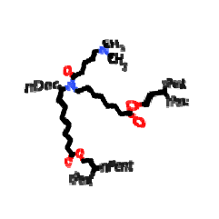 CCCCCCCCCCC(CCCCCCCC(=O)OCCC(CCCCC)CCCCC)N(CCCCCCCC(=O)OCCC(CCCCC)CCCCC)C(=O)CCCCN(C)C